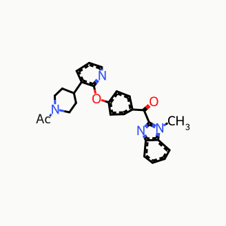 CC(=O)N1CCC(c2cccnc2Oc2ccc(C(=O)c3nc4ccccc4n3C)cc2)CC1